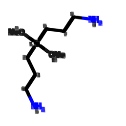 CO[Si](CCCN)(CCCN)OC